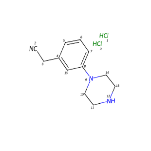 Cl.Cl.N#CCc1cccc(N2CCNCC2)c1